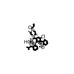 C=CC(=O)N1C[C@H](C)N(C2=NS(O)(O)N(c3ccccc3CC(C)C)c3nc(-c4ccccc4S(C)(=O)=O)c(Cl)cc32)C[C@H]1C